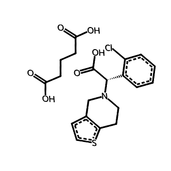 O=C(O)CCCC(=O)O.O=C(O)[C@H](c1ccccc1Cl)N1CCc2sccc2C1